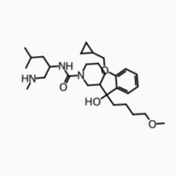 CNCC(CC(C)C)NC(=O)N1CCCC(C(O)(CCCCOC)c2ccccc2OCC2CC2)C1